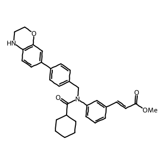 COC(=O)/C=C/c1cccc(N(Cc2ccc(-c3ccc4c(c3)OCCN4)cc2)C(=O)C2CCCCC2)c1